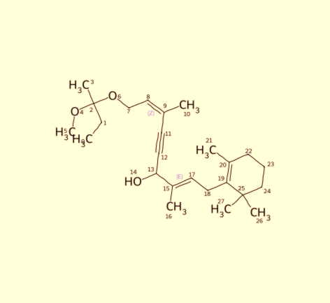 CCC(C)(OC)OC/C=C(/C)C#CC(O)/C(C)=C/CC1=C(C)CCCC1(C)C